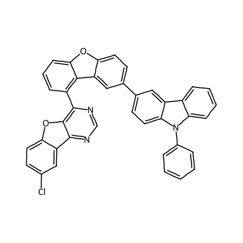 Clc1ccc2oc3c(-c4cccc5oc6ccc(-c7ccc8c(c7)c7ccccc7n8-c7ccccc7)cc6c45)ncnc3c2c1